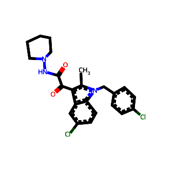 Cc1c(C(=O)C(=O)NN2CCCCC2)c2cc(Cl)ccc2n1Cc1ccc(Cl)cc1